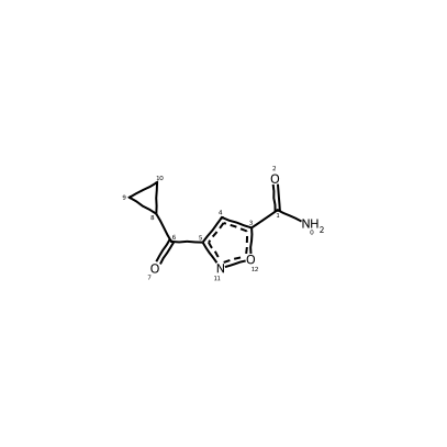 NC(=O)c1cc(C(=O)C2CC2)no1